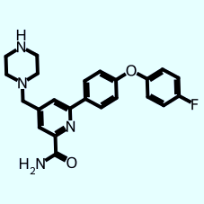 NC(=O)c1cc(CN2CCNCC2)cc(-c2ccc(Oc3ccc(F)cc3)cc2)n1